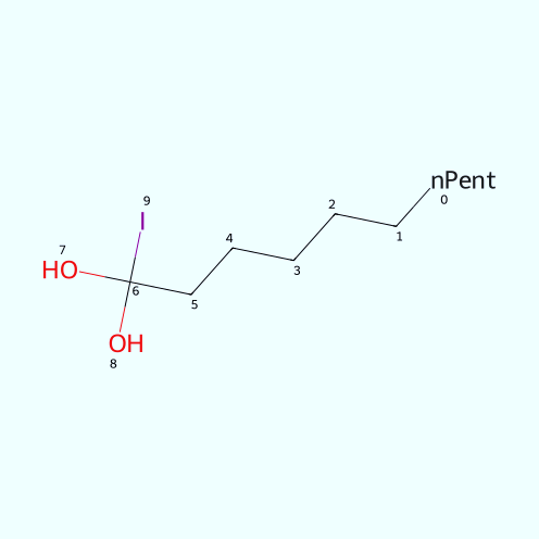 CCCCCCCCCCC(O)(O)I